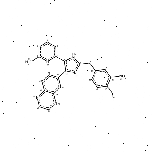 Cc1cccc(-c2[nH]c(Cc3ccc(F)c([N+](=O)[O-])c3)nc2-c2ccc3nccnc3c2)n1